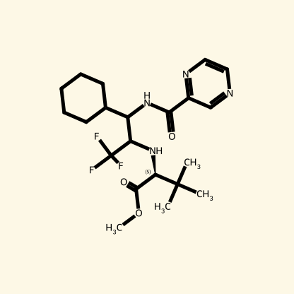 COC(=O)[C@@H](NC(C(NC(=O)c1cnccn1)C1CCCCC1)C(F)(F)F)C(C)(C)C